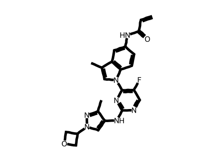 C=CC(=O)Nc1ccc2c(c1)c(C)cn2-c1nc(Nc2cn(C3COC3)nc2C)ncc1F